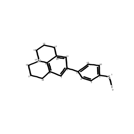 ISc1ccc(-c2cc3c4c(c2)CCCN4CCC3)cc1